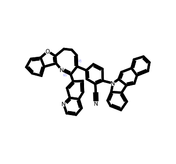 N#Cc1cc(C2=C/CCc3oc4ccccc4c3/N=C\2c2ccc3cccnc3c2)ccc1-n1c2ccccc2c2cc3ccccc3cc21